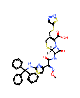 CON=C(C(=O)NC1C(=O)N2C(C(=O)O)=C(CSc3cnns3)CS[C@@H]12)c1csc(NC(c2ccccc2)(c2ccccc2)c2ccccc2)n1